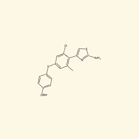 COc1ccc(Sc2cc(C)c(-c3csc([AsH2])n3)c(Cl)c2)cc1